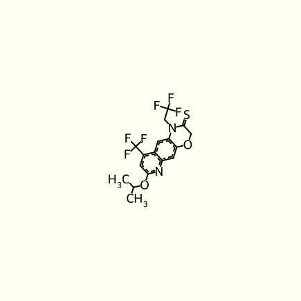 CC(C)Oc1cc(C(F)(F)F)c2cc3c(cc2n1)OCC(=S)N3CC(F)(F)F